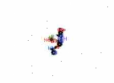 COc1cc2nc(Nc3nc(O)c4cc(OCCNC(C)c5cccnc5)ccc4n3)nc(C)c2cc1OC.O=C(O)C(F)(F)F